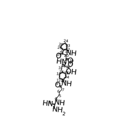 N=C(N)NCCCCC(=O)Nc1ccc(C[C@H](NC(=O)C2Nc3ccccc3C2=O)C(=O)O)cc1